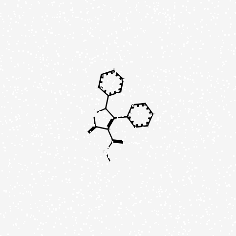 CCCCCCCCNC(=O)C1=C(c2ccccc2)C(c2ccccc2)OC1=O